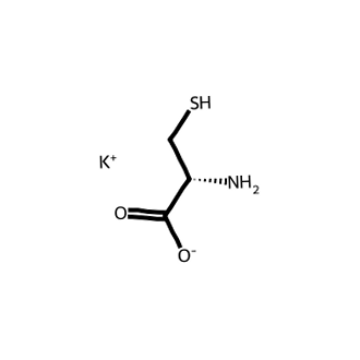 N[C@@H](CS)C(=O)[O-].[K+]